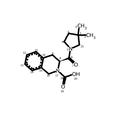 CC1(C)CCN(C(=O)[C@@H]2Cc3ccccc3CN2C(=O)O)C1